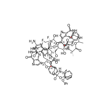 CC(C)OC(=O)[C@H](C)NP(=O)(OC[C@H]1O[C@@H](n2cnc3c(=O)[nH]c(NC(C)OC(=O)[C@H](C)N[P@](=O)(OC[C@H]4O[C@@H](n5cnc6c(=O)[nH]c(NC(C)OC(=O)[C@H](C)N[P@@](=O)(OC[C@H]7O[C@@H](n8cnc9c(=O)[nH]c(N)nc98)[C@@](F)(CF)C7O)Oc7ccccc7)nc65)[C@@](F)(CF)C4O)Oc4ccccc4)nc32)[C@@](F)(CF)C1O)Oc1ccccc1